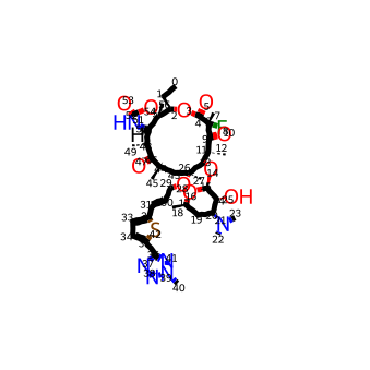 CC[C@H]1OC(=O)[C@](C)(F)C(=O)[C@H](C)[C@@H](O[C@@H]2O[C@H](C)C[C@H](N(C)C)[C@H]2O)[C@@](C)(OCC=Cc2ccc(-c3nnn(C)n3)s2)C[C@@H](C)C(=O)[C@H](C)[C@H]2NC(=O)O[C@@]21C